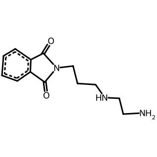 NCCNCCCN1C(=O)c2ccccc2C1=O